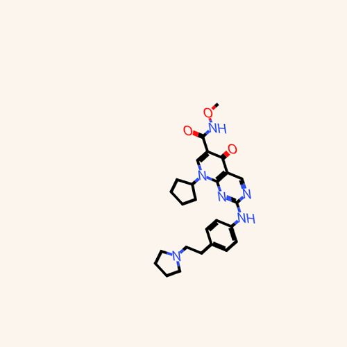 CONC(=O)c1cn(C2CCCC2)c2nc(Nc3ccc(CCN4CCCC4)cc3)ncc2c1=O